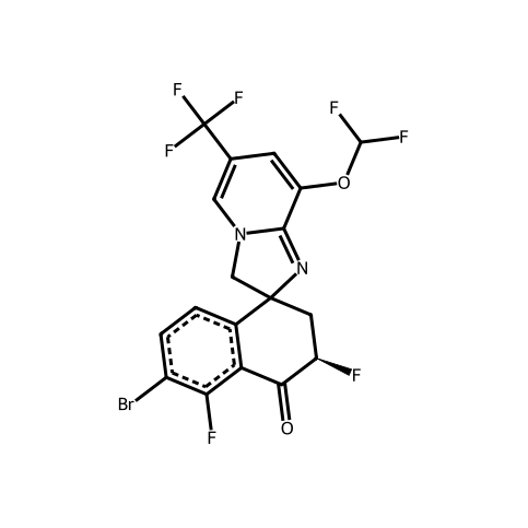 O=C1c2c(ccc(Br)c2F)C2(C[C@H]1F)CN1C=C(C(F)(F)F)C=C(OC(F)F)C1=N2